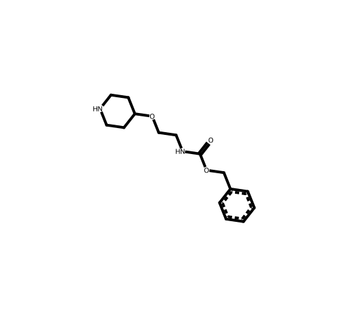 O=C(NCCOC1CCNCC1)OCc1ccccc1